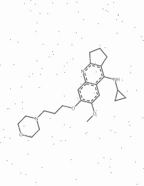 COc1cc2c(NC3CC3)c3c(nc2cc1OCCCN1CCOCC1)CCC3